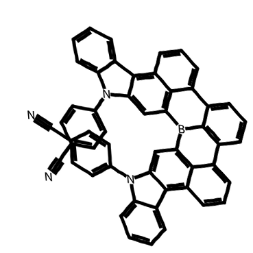 N#Cc1ccc(-n2c3ccccc3c3c4cccc5c4c(cc32)B2c3c-5cccc3-c3cccc4c3c2cc2c4c3ccccc3n2-c2ccc(C#N)cc2)cc1